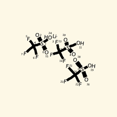 O=S(=O)(O)C(F)(F)F.O=S(=O)(O)C(F)(F)F.O=S(=O)(O)C(F)(F)F.[Li]